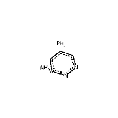 N.P.c1cnnnc1